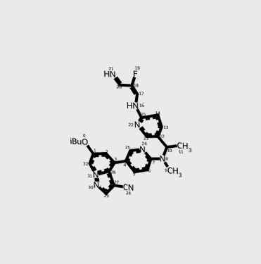 CC(C)COc1cc(-c2ccc(N(C)C(C)c3ccc(N/C=C(/F)C=N)nc3)nc2)c2c(C#N)cnn2c1